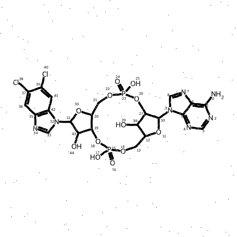 Nc1ncnc2c1ncn2C1OC2COP(=O)(O)OC3C(COP(=O)(O)OC1C2O)OC(n1cnc2cc(Cl)c(Cl)cc21)C3O